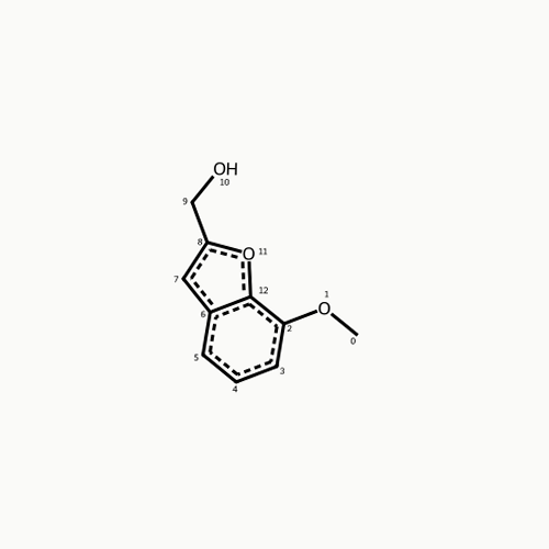 COc1cccc2cc(CO)oc12